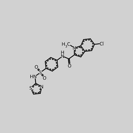 Cn1c(C(=O)Nc2ccc(S(=O)(=O)Nc3nccs3)cc2)cc2cc(Cl)ccc21